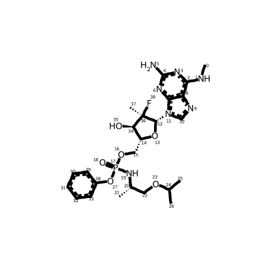 CNc1nc(N)nc2c1ncn2[C@@H]1O[C@H](COP(=O)(N[C@@H](C)COC(C)C)Oc2ccccc2)[C@@H](O)[C@@]1(C)F